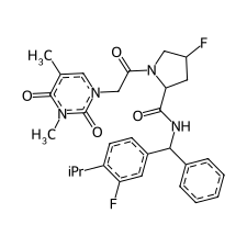 Cc1cn(CC(=O)N2CC(F)CC2C(=O)NC(c2ccccc2)c2ccc(C(C)C)c(F)c2)c(=O)n(C)c1=O